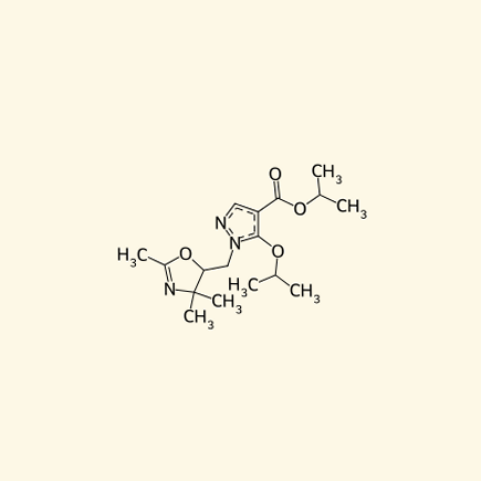 CC1=NC(C)(C)C(Cn2ncc(C(=O)OC(C)C)c2OC(C)C)O1